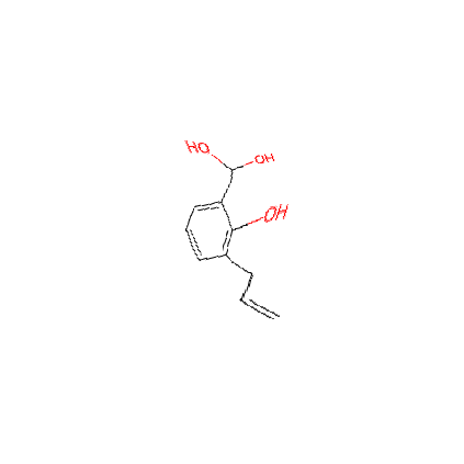 C=CCc1cccc(C(O)O)c1O